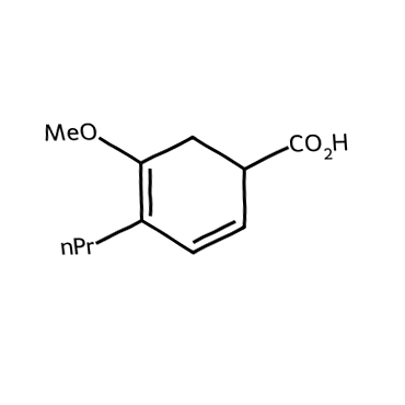 CCCC1=C(OC)CC(C(=O)O)C=C1